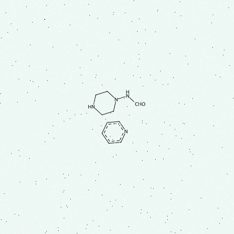 O=CNN1CCNCC1.c1ccncc1